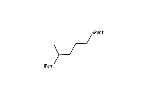 [CH2]CCCCCCCC(C)C(C)CCC